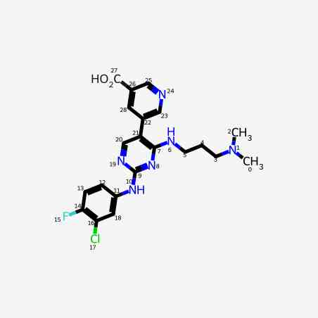 CN(C)CCCNc1nc(Nc2ccc(F)c(Cl)c2)ncc1-c1cncc(C(=O)O)c1